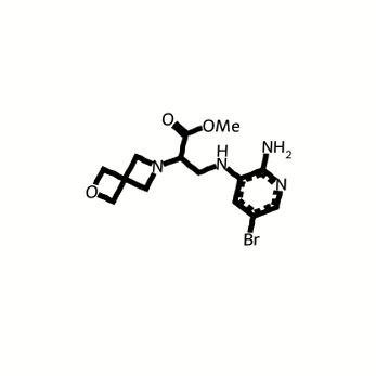 COC(=O)C(CNc1cc(Br)cnc1N)N1CC2(COC2)C1